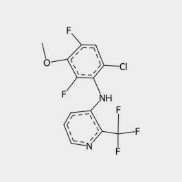 COc1c(F)cc(Cl)c(Nc2cccnc2C(F)(F)F)c1F